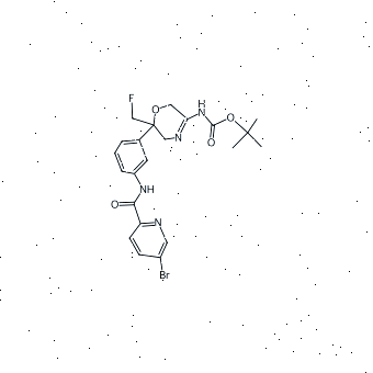 CC(C)(C)OC(=O)NC1=NCC(CF)(c2cccc(NC(=O)c3ccc(Br)cn3)c2)OC1